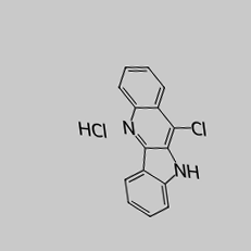 Cl.Clc1c2ccccc2nc2c1[nH]c1ccccc12